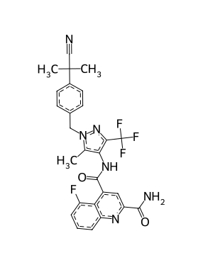 Cc1c(NC(=O)c2cc(C(N)=O)nc3cccc(F)c23)c(C(F)(F)F)nn1Cc1ccc(C(C)(C)C#N)cc1